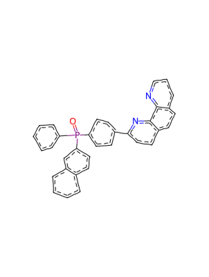 O=P(c1ccccc1)(c1ccc(-c2ccc3ccc4cccnc4c3n2)cc1)c1ccc2ccccc2c1